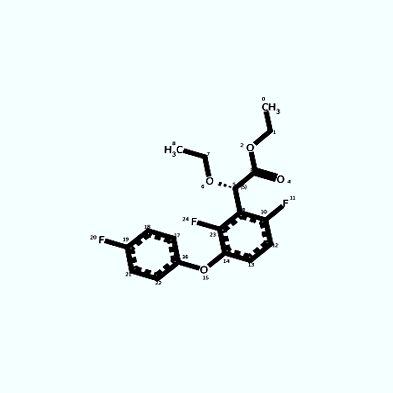 CCOC(=O)[C@@H](OCC)c1c(F)ccc(Oc2ccc(F)cc2)c1F